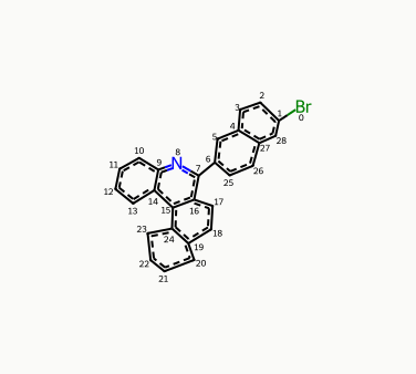 Brc1ccc2cc(-c3nc4ccccc4c4c3ccc3ccccc34)ccc2c1